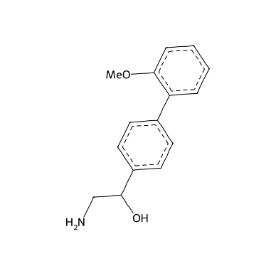 COc1ccccc1-c1ccc(C(O)CN)cc1